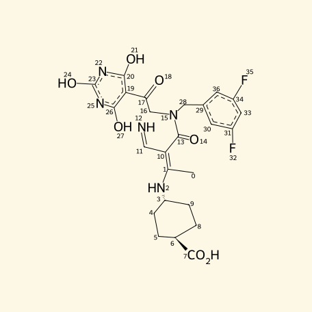 C/C(N[C@H]1CC[C@H](C(=O)O)CC1)=C(/C=N)C(=O)N(CC(=O)c1c(O)nc(O)nc1O)Cc1cc(F)cc(F)c1